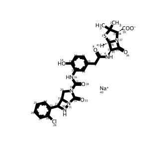 CC1(C)S[C@@H]2[C@H](NC(=O)Cc3ccc(O)c(NC(=O)N4CC5C(c6ccccc6Cl)NN5C4=O)c3)C(=O)N2[C@H]1C(=O)[O-].[Na+]